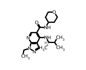 CCn1ncc2c(N[C@@H](C)C(C)C)c(C(=O)NC3CCOCC3)cnc21